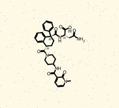 Cn1cccc(C(=O)NC2CCN(C(=O)[C@H]3CC[C@@](C(=O)N[C@@H](CC(N)=O)C(=O)O)(c4ccccc4)c4ccccc43)CC2)c1=O